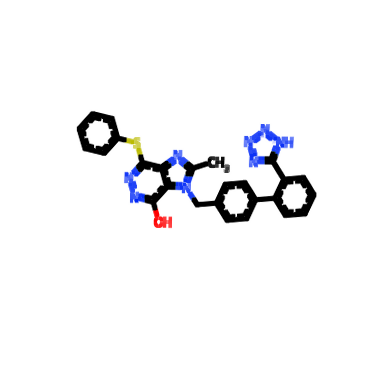 Cc1nc2c(Sc3ccccc3)nnc(O)c2n1Cc1ccc(-c2ccccc2-c2nnn[nH]2)cc1